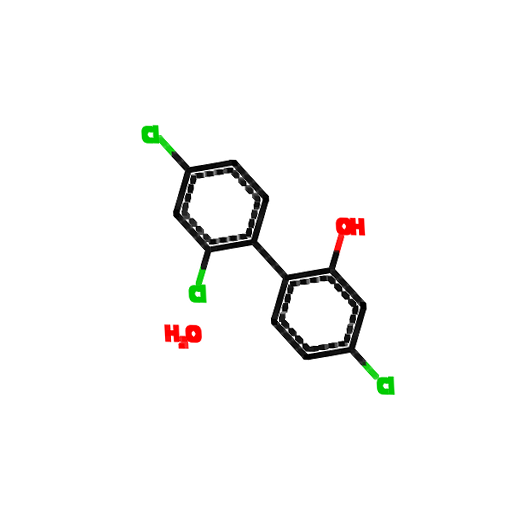 O.Oc1cc(Cl)ccc1-c1ccc(Cl)cc1Cl